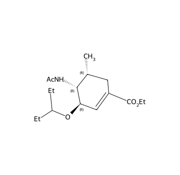 CCOC(=O)C1=C[C@@H](OC(CC)CC)[C@H](NC(C)=O)[C@H](C)C1